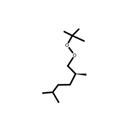 CC(C)CC[C@H](C)COOC(C)(C)C